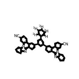 [2H]c1c([2H])c([2H])c(-c2cc(-c3ccc4c(c3)c3ccc(C#N)cc3n3c5ccccc5nc43)cc(-c3ccc4c(c3)c3ccc(C#N)cc3n3c5ccccc5nc43)c2)c([2H])c1[2H]